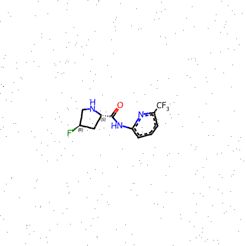 O=C(Nc1cccc(C(F)(F)F)n1)[C@@H]1C[C@@H](F)CN1